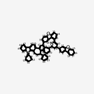 c1ccc(-c2cc(-c3ccc4c(c3)oc3ccccc34)cc(-c3cccc4oc5ccc(-c6ccc7c(c6)-c6ccc8c9ccccc9n(-c9ccccc9)c8c6CCC7c6ccccc6)cc5c34)n2)cc1